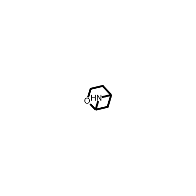 C1CC2CC(N2)O1